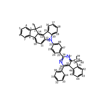 CC1(C)c2ccccc2-c2ccc3c(c21)c1ccccc1n3-c1ccc(-c2nc(-c3ccccc3)c3c(n2)[Si](C)(C)c2ccccc2-3)cc1